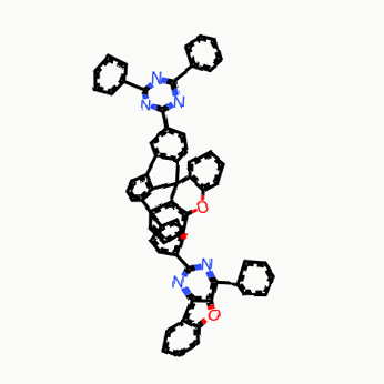 c1ccc(-c2nc(-c3ccccc3)nc(-c3ccc4c(c3)-c3cccc(-c5ccc(-c6nc(-c7ccccc7)c7oc8ccccc8c7n6)cc5)c3C43c4ccccc4Oc4ccccc43)n2)cc1